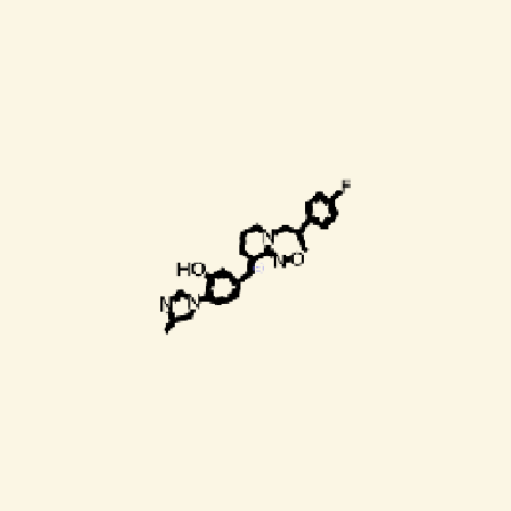 CC1CN(c2ccc(/C=C3\CCCN4CC(c5ccc(F)cc5)CON=C34)cc2O)C=N1